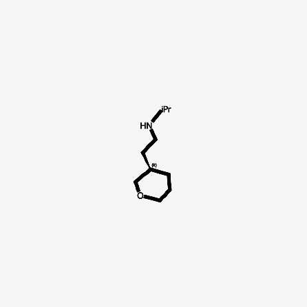 CC(C)NCC[C@H]1CCCOC1